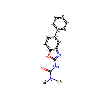 CCN(C)C(=O)Nc1nc2cc(-c3ccccc3)ccc2o1